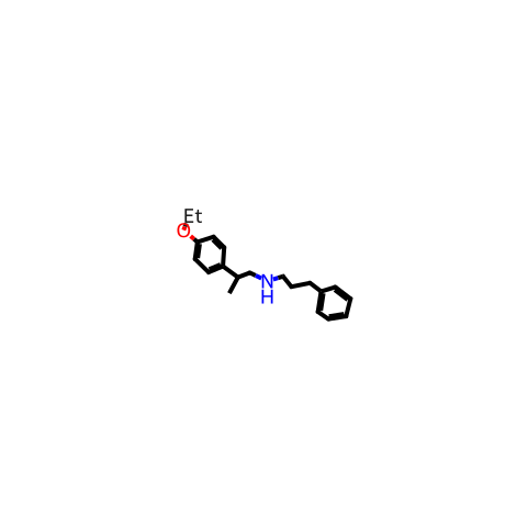 CCOc1ccc(C(C)CNCCCc2ccccc2)cc1